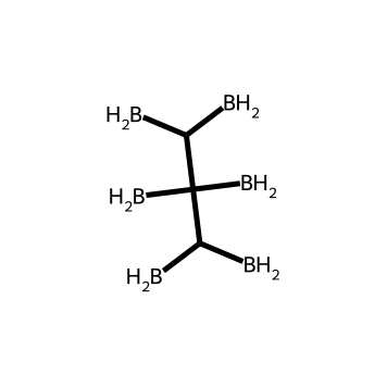 BC(B)C(B)(B)C(B)B